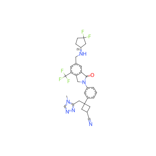 Cn1cnnc1CC1(c2cccc(N3Cc4c(cc(CN[C@H]5CCC(F)(F)C5)cc4C(F)(F)F)C3=O)c2)CC(C#N)C1